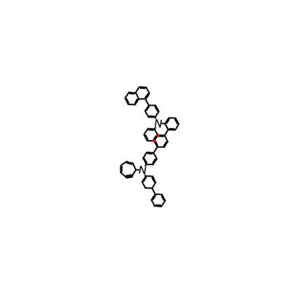 C1#CC(N(C2=CCC(c3ccccc3)C=C2)c2ccc(-c3ccc(-c4ccccc4N(c4ccccc4)c4ccc(-c5cccc6ccccc56)cc4)cc3)cc2)C=CC=C1